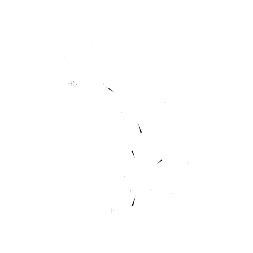 CO[C@@H]1[C@H](OC[C@H]2O[C@@H](n3cc(C)c(=O)[nH]c3=O)C[C@@H]2O)O[C@H](CO)[C@H]1O